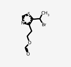 CC(Br)c1scnc1CCOC=O